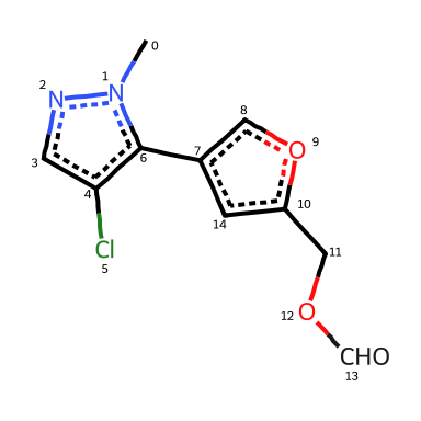 Cn1ncc(Cl)c1-c1coc(COC=O)c1